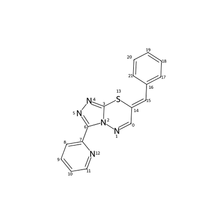 C1=Nn2c(nnc2-c2ccccn2)S/C1=C\c1ccccc1